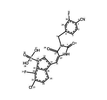 N#Cc1ccc(CN2C(=O)NC(=Cc3cn(P(=O)(O)O)c4c(F)c(Cl)ccc34)C2=O)cc1F